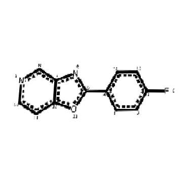 Fc1ccc(-c2nc3cnccc3o2)cc1